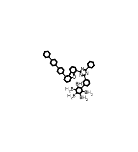 Bc1c(B)c(B)c(-c2cccc(-c3nc(-c4ccccc4)nc(-c4cccc5c4oc4cccc(-c6ccc(-c7ccc(-c8ccccc8)cc7)cc6)c45)n3)c2)c(B)c1B